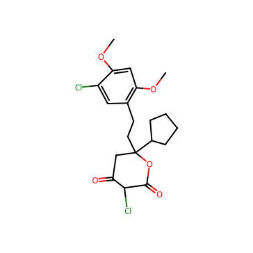 COc1cc(OC)c(CCC2(C3CCCC3)CC(=O)C(Cl)C(=O)O2)cc1Cl